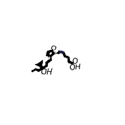 CCCC(O)(CC=C[C@H]1C=CC(=O)[C@@H]1C/C=C\CCCC(=O)O)C1CC1